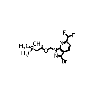 C[Si](C)(C)CCOCn1nc(Br)c2ccc(C(F)F)nc21